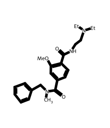 CCN(CC)CCNC(=O)c1ccc(C(=O)N(C)Cc2ccccc2)cc1OC